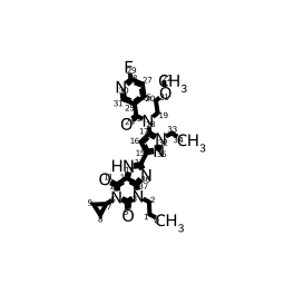 CCCn1c(=O)n(C2CC2)c(=O)c2[nH]c(-c3cc(N(CCOC)C(=O)c4ccc(F)nc4)n(CC)n3)nc21